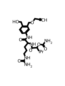 C#CCOCc1cc(NC(=O)C(CCCNC(N)=O)NC(=O)C(OC(N)=O)C(C)C)ccc1CO